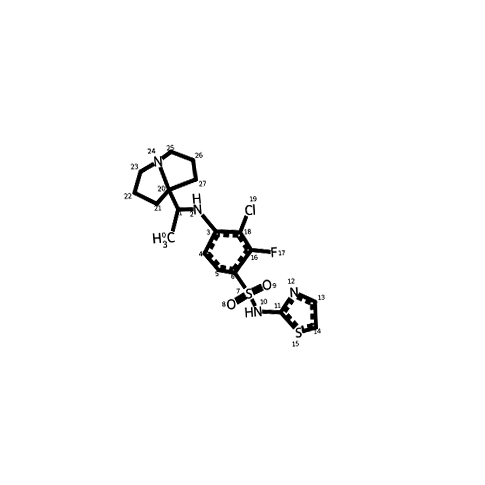 CC(Nc1ccc(S(=O)(=O)Nc2nccs2)c(F)c1Cl)C12CCCN1CCC2